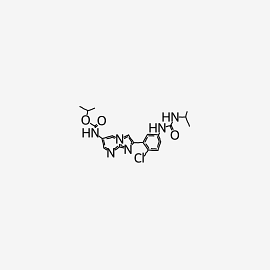 CC(C)NC(=O)Nc1ccc(Cl)c(-c2cn3cc(NC(=O)OC(C)C)cnc3n2)c1